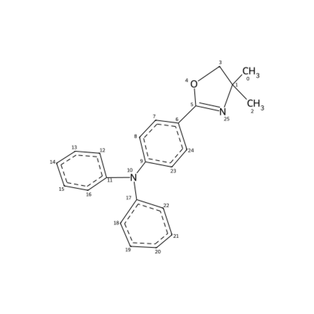 CC1(C)COC(c2ccc(N(c3ccccc3)c3ccccc3)cc2)=N1